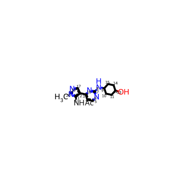 CC(=O)Nc1c(-c2ccnc(NC3CCC(O)CC3)n2)cnn1C